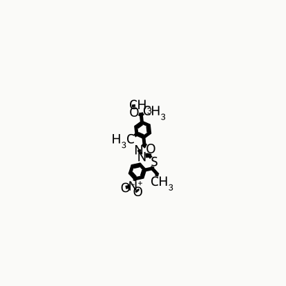 CCC(Sc1nnc(-c2ccc(C(C)OC)cc2C)o1)c1cccc([N+](=O)[O-])c1